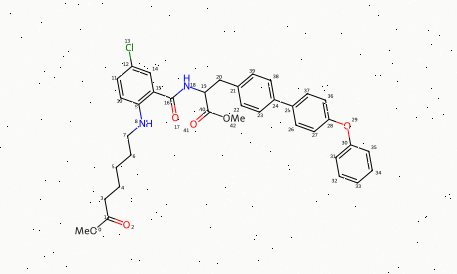 COC(=O)CCCCCNc1ccc(Cl)cc1C(=O)NC(Cc1ccc(-c2ccc(Oc3ccccc3)cc2)cc1)C(=O)OC